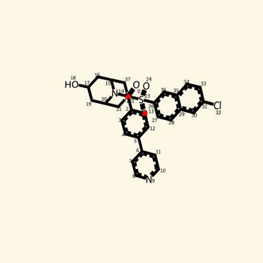 O=C(c1ccc(-c2ccncc2)cc1)N1C2CC(O)CC1CN(S(=O)(=O)c1ccc3cc(Cl)ccc3c1)C2